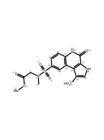 CN(CC(=O)OC(C)(C)C)S(=O)(=O)c1ccc2[nH]c(=O)c3[nH]cc(C(=O)O)c3c2c1